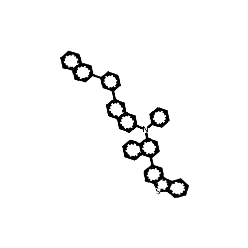 c1ccc(N(c2ccc3ccc(-c4cccc(-c5ccc6ccccc6c5)c4)cc3c2)c2ccc(-c3ccc4sc5ccccc5c4c3)c3ccccc23)cc1